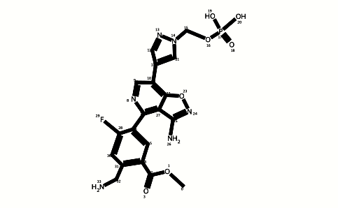 COC(=O)c1cc(-c2ncc(-c3cnn(COP(=O)(O)O)c3)c3onc(N)c23)c(F)cc1CN